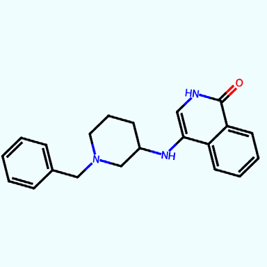 O=c1[nH]cc(NC2CCCN(Cc3ccccc3)C2)c2ccccc12